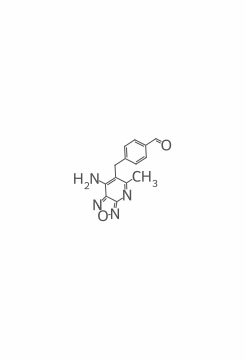 Cc1nc2nonc2c(N)c1Cc1ccc(C=O)cc1